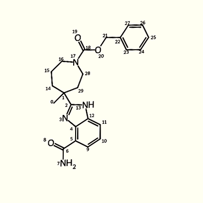 CC1(c2nc3c(C(N)=O)cccc3[nH]2)CCCN(C(=O)OCc2ccccc2)CC1